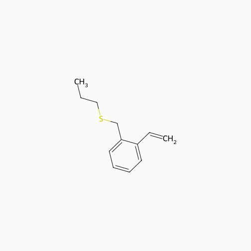 C=Cc1ccccc1CSCCC